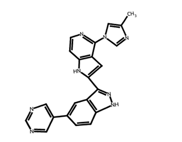 Cc1cn(-c2nccc3[nH]c(-c4n[nH]c5ccc(-c6cncnc6)cc45)cc23)cn1